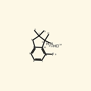 CC1(C)Cc2cccc(F)c2C1(C)N.Cl